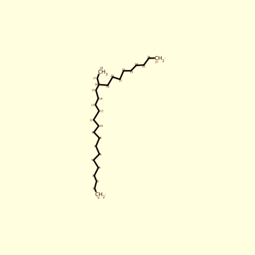 [CH2]CCCCCCCCCCCCCCCC(CC)CCCCCCCC[CH2]